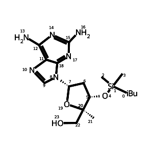 CCC(C)[Si](C)(C)O[C@H]1C[C@@H](n2cnc3c(N)nc(N)nc32)O[C@]1(C)CO